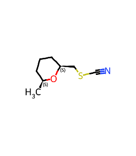 C[C@H]1CCC[C@@H](CSC#N)O1